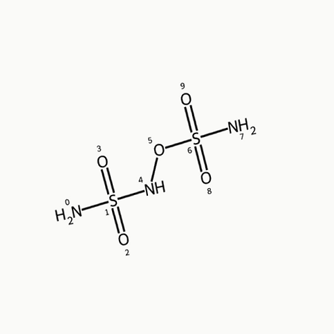 NS(=O)(=O)NOS(N)(=O)=O